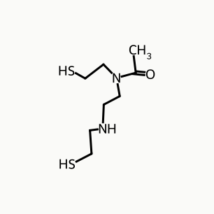 CC(=O)N(CCS)CCNCCS